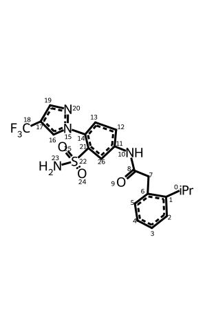 CC(C)c1ccccc1CC(=O)Nc1ccc(-n2cc(C(F)(F)F)cn2)c(S(N)(=O)=O)c1